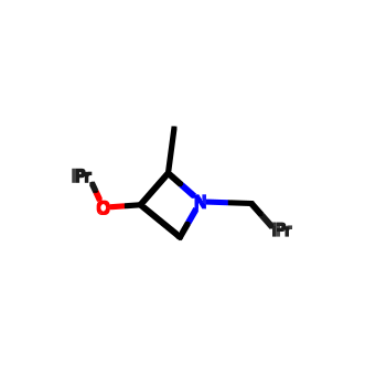 CC(C)CN1CC(OC(C)C)C1C